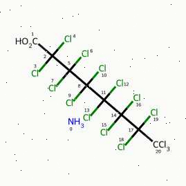 N.O=C(O)C(Cl)(Cl)C(Cl)(Cl)C(Cl)(Cl)C(Cl)(Cl)C(Cl)(Cl)C(Cl)(Cl)C(Cl)(Cl)Cl